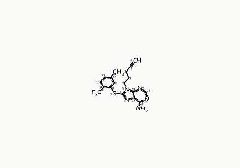 C#CCCCn1c(Sc2cc(C)ccc2C(F)(F)F)nc2c(N)ncnc21